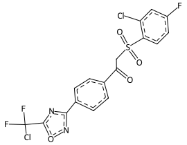 O=C(CS(=O)(=O)c1ccc(F)cc1Cl)c1ccc(-c2noc(C(F)(F)Cl)n2)cc1